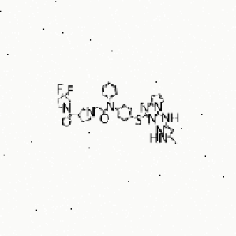 Cc1cc(Nc2nc(Sc3ccc(N(C(=O)CN4CCC(C(=O)N5CCC(F)(F)C5)C4)c4ccccc4)cc3)nc3cccn23)n[nH]1